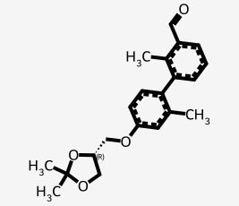 Cc1cc(OC[C@@H]2COC(C)(C)O2)ccc1-c1cccc(C=O)c1C